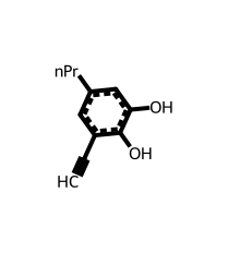 C#Cc1cc(CCC)cc(O)c1O